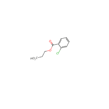 O=C(O)CCOC(=O)c1ccccc1Cl